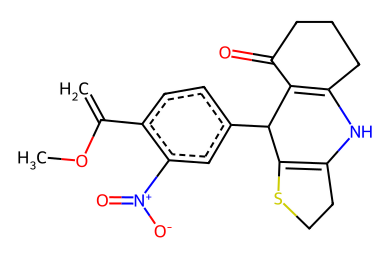 C=C(OC)c1ccc(C2C3=C(CCS3)NC3=C2C(=O)CCC3)cc1[N+](=O)[O-]